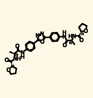 C[C@H](NC(=O)[C@@H]1CCCO1)C(=O)Nc1ccc(-c2nnc(-c3ccc(NC(=O)[C@H](C)NC(=O)[C@@H]4CCCO4)cc3)o2)cc1